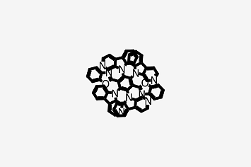 c1ccc2oc(-c3c(-n4c5ccccc5c5ccncc54)c(-n4c5ccccc5c5ccncc54)c(-c4nc5ccccc5o4)c(-n4c5ccccc5c5ccncc54)c3-n3c4ccccc4c4ccncc43)nc2c1